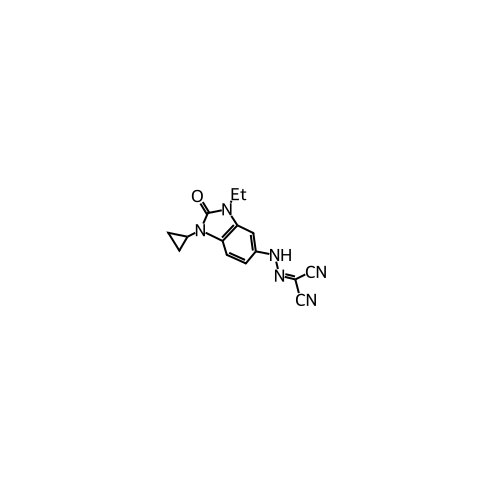 CCn1c(=O)n(C2CC2)c2ccc(NN=C(C#N)C#N)cc21